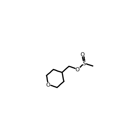 CS(=O)OCC1CCOCC1